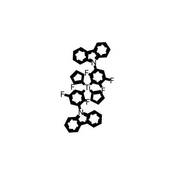 Fc1cc(-n2c3ccccc3c3ccccc32)c(F)[c]([Ti]([C]2=CC=CC2)([C]2=CC=CC2)[c]2c(F)c(F)cc(-n3c4ccccc4c4ccccc43)c2F)c1F